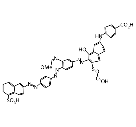 CO/C=N\c1cc(N=Nc2c(SOOO)cc3ccc(Nc4ccc(C(=O)O)cc4)cc3c2O)ccc1N=Nc1ccc(N=Nc2ccc3c(S(=O)(=O)O)cccc3c2)cc1